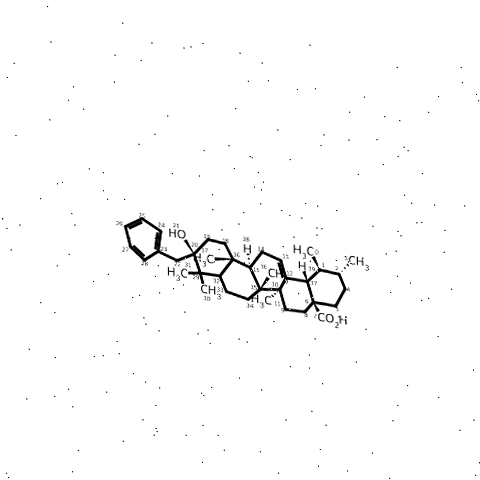 C[C@H]1[C@H](C)CC[C@]2(C(=O)O)CC[C@]3(C)C(=CC[C@@H]4[C@@]5(C)CC[C@@](O)(Cc6ccccc6)C(C)(C)C5CC[C@]43C)[C@H]12